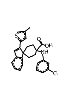 Cc1csc(C2=Cc3ccccc3C23CCC(Nc2cccc(Cl)c2)(C(=O)O)CC3)c1